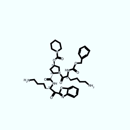 NCCCC[C@H](NC(=O)[C@@H]1C[C@@H](OC(=O)N2CCCCC2)CN1C(=O)[C@H](CCCCN)NC(=O)OCc1ccccc1)C(=O)c1nc2ccccc2o1